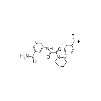 NC(=O)c1cncc(NC(=O)C(=O)N2CCCC[C@H]2c2ccc(C(F)F)cc2)c1